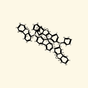 c1ccc(N(c2ccc3c(c2)C2(c4ccccc4-c4ccc(N(c5ccccc5)c5cccc6c5sc5ccccc56)cc42)c2c-3oc3ccccc23)c2ccc3oc4ccccc4c3c2)cc1